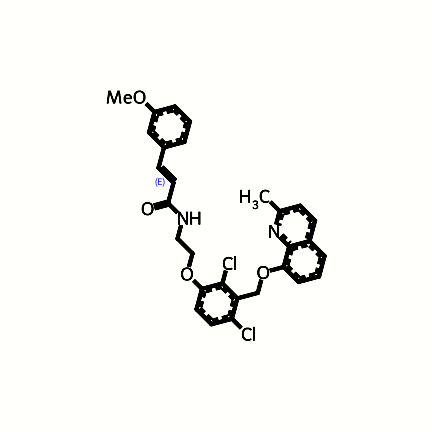 COc1cccc(/C=C/C(=O)NCCOc2ccc(Cl)c(COc3cccc4ccc(C)nc34)c2Cl)c1